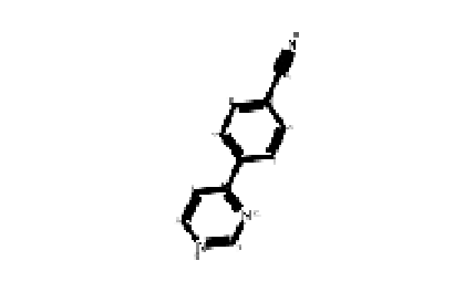 N#Cc1ccc(-c2c[c]ncn2)cc1